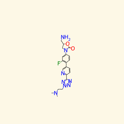 CN(C)CCn1nnc(-c2ccc(-c3ccc(N4CC(CN)OC4=O)cc3F)cn2)n1